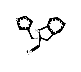 C=C[C@]1(Cc2ccsc2)Cc2ccccc2N1